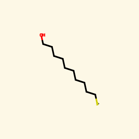 OCCCCCCCCCC[S]